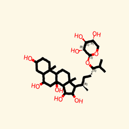 CC(C)[C@H](CC[C@@H](C)C1C(O)C(O)C2C1(C)CCC1C3(C)CCC(O)CC3C(O)CC12O)O[C@@H]1OC[C@@H](O)[C@H](O)[C@H]1O